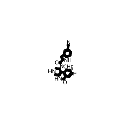 CN(C(=O)c1cc2cc(C#N)ccc2[nH]1)[C@@H]1CNCc2[nH]c(=O)c3cc(F)c(F)cc3c21